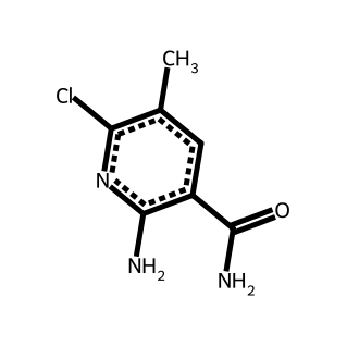 Cc1cc(C(N)=O)c(N)nc1Cl